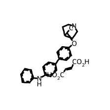 O=C(O)C=CC(=O)O.c1ccc(Nc2ccc(-c3ccc(OC4CN5CCC4CC5)cc3)cc2)cc1